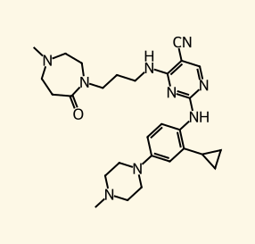 CN1CCC(=O)N(CCCNc2nc(Nc3ccc(N4CCN(C)CC4)cc3C3CC3)ncc2C#N)CC1